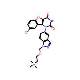 C[Si](C)(C)CCOCn1ncc2cc(-n3c(=O)[nH]c(=O)c4oc5ccc(Cl)cc5c43)ccc21